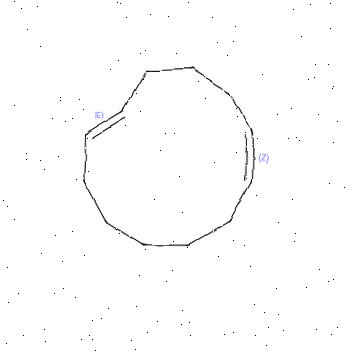 C1=C\CCCCC/C=C/CCC/1